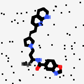 O=C(NC(CCN1CC[C@H](CCc2ccc3c(n2)NCCC3)C1)C(=O)O)c1ccc2ocnc2c1